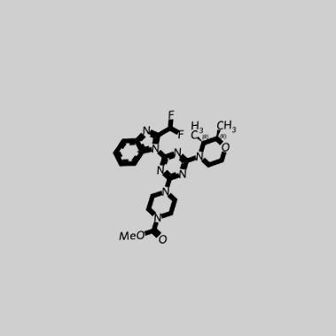 COC(=O)N1CCN(c2nc(N3CCO[C@H](C)[C@H]3C)nc(-n3c(C(F)F)nc4ccccc43)n2)CC1